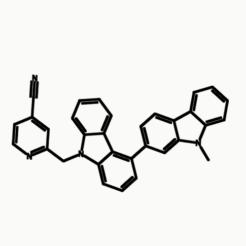 Cn1c2ccccc2c2ccc(-c3cccc4c3c3ccccc3n4Cc3cc(C#N)ccn3)cc21